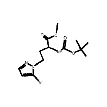 COC(=O)C(CCn1nccc1Br)NC(=O)OC(C)(C)C